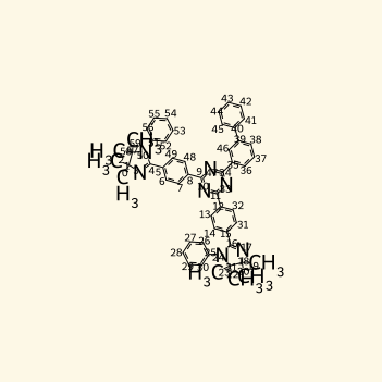 CC1(C)N=C(c2ccc(-c3nc(-c4ccc(C5=NC(C)(C)C(C)(C)N5c5ccccc5)cc4)nc(-c4cccc(-c5ccccc5)c4)n3)cc2)N(c2ccccc2)C1(C)C